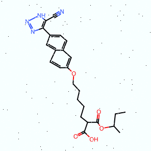 CCC(C)OC(=O)C(CCCCCOc1ccc2cc(-c3nn[nH]c3C#N)ccc2c1)C(=O)O